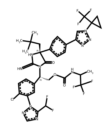 CC(NC(=O)OC[C@H](c1ccc(Cl)c(-n2ncnc2C(F)F)c1)N1C(=N)N[C@](CC(C)(C)C)(c2ccc(-c3cn(C4(C(F)(F)F)CC4)nn3)cc2)C1=O)C(F)(F)F